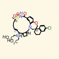 C[C@@H]1CC/C=C/[C@H](N(CC(=O)O)CC(=O)O)[C@@H]2CC[C@H]2CN2C[C@@]3(CCCc4cc(Cl)ccc43)COc3ccc(cc32)C(=O)NS1(=O)=O